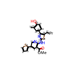 COC(=O)c1cc(-c2cccs2)cnc1Nc1nc(-c2ccc(O)c(C)c2)c(CC(C)C)s1